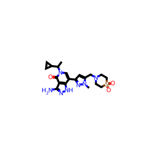 CC(C1CC1)n1cc(-c2cc(CN3CCS(=O)(=O)CC3)n(C)n2)c2[nH]nc(N)c2c1=O